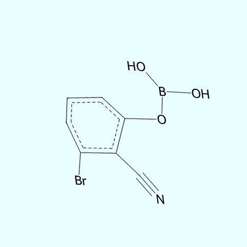 N#Cc1c(Br)cccc1OB(O)O